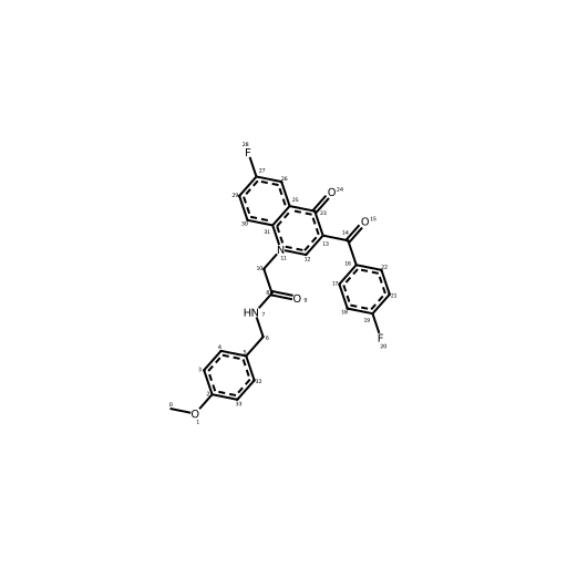 COc1ccc(CNC(=O)Cn2cc(C(=O)c3ccc(F)cc3)c(=O)c3cc(F)ccc32)cc1